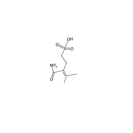 CC(C)=C(CCS(=O)(=O)O)C(N)=O